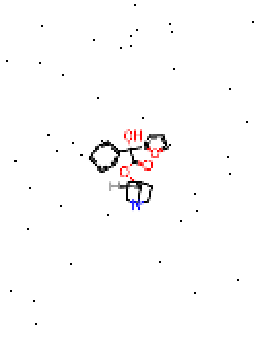 O=C(O[C@H]1CN2CCC1CC2)C(O)(c1ccccc1)c1ccco1